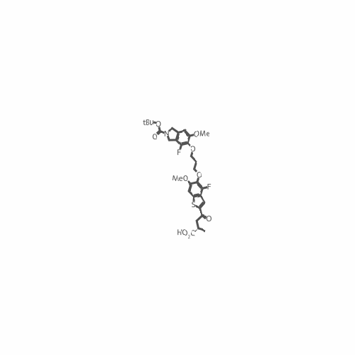 COc1cc2c(c(F)c1OCCCOc1c(OC)cc3sc(C(=O)C[C@H](C)C(=O)O)cc3c1F)CN(C(=O)OC(C)(C)C)C2